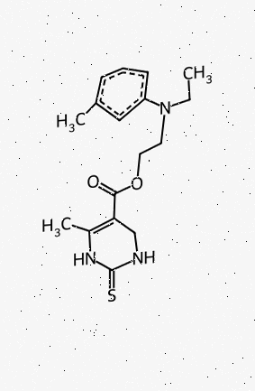 CCN(CCOC(=O)C1=C(C)NC(=S)NC1)c1cccc(C)c1